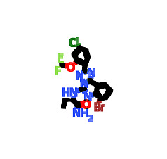 CC[C@@H](Nc1nc2c(Br)cccc2c2nc(-c3ccc(Cl)cc3OC(F)F)nn12)C(N)=O